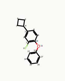 Fc1cc(C2CCC2)ccc1Oc1ccccc1